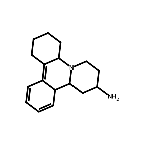 NC1CCN2C3CCCCC3=C3C=CC=CC3C2C1